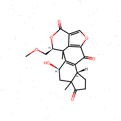 COC[C@H]1OC(=O)c2coc3c2C1(C)C1=C(C3=O)[C@@H]2CCC(=O)C2(C)C[C@H]1O